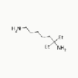 CCC(N)(CC)CCCCCN